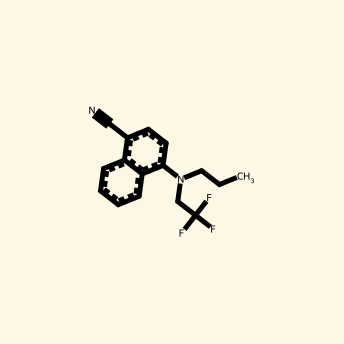 CCCN(CC(F)(F)F)c1ccc(C#N)c2ccccc12